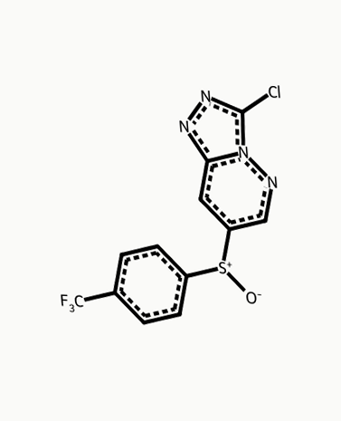 [O-][S+](c1ccc(C(F)(F)F)cc1)c1cnn2c(Cl)nnc2c1